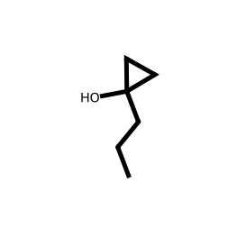 CCCC1(O)CC1